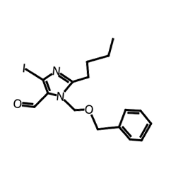 CCCCc1nc(I)c(C=O)n1COCc1ccccc1